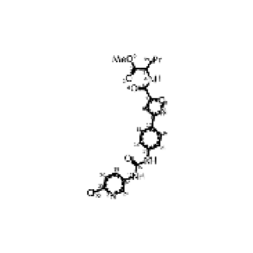 COC(=O)C(NC(=O)c1cc(-c2ccc(NC(=O)Nc3ccc(Cl)nc3)cc2)no1)C(C)C